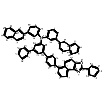 C1=CC(c2cccc(N(c3cccc(-c4ccc5ccccc5c4)c3)c3cc(-c4ccccc4)cc(-c4ccc(-c5cccc6c5ccc5oc(-c7ccccc7)nc56)cc4)c3)c2)Cc2ccccc21